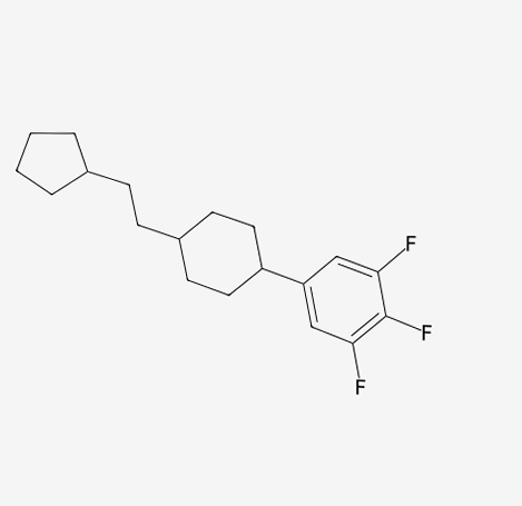 Fc1cc(C2CCC(CCC3CCCC3)CC2)cc(F)c1F